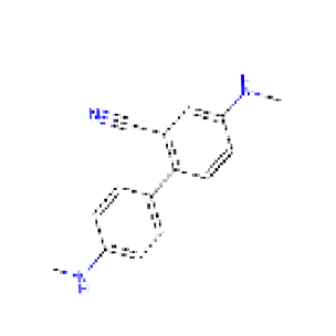 CNc1ccc(-c2ccc(NC)cc2C#N)cc1